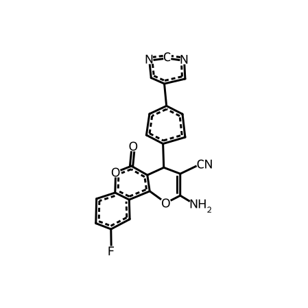 N#CC1=C(N)Oc2c(c(=O)oc3ccc(F)cc23)C1c1ccc(-c2cncnc2)cc1